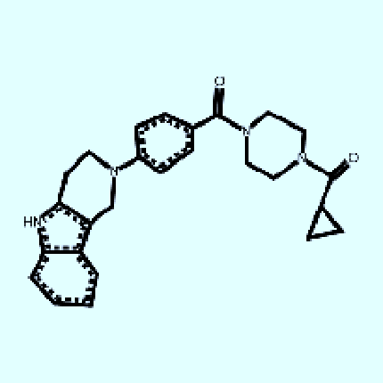 O=C(c1ccc(N2CCc3[nH]c4ccccc4c3C2)cc1)N1CCN(C(=O)C2CC2)CC1